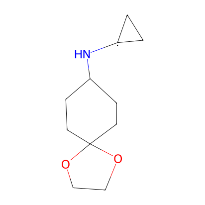 C1COC2(CCC(N[C]3CC3)CC2)O1